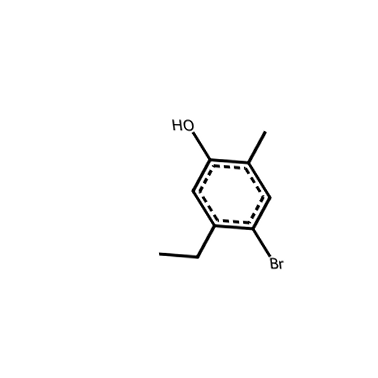 CCc1cc(O)c(C)cc1Br